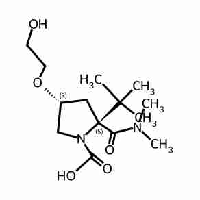 CN(C)C(=O)[C@@]1(C(C)(C)C)C[C@@H](OCCO)CN1C(=O)O